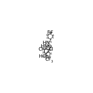 O=C(NCC1CCC(F)(F)CC1)Nc1c(Cl)cc2c(c1Cl)CCC2(O)C(F)(F)F